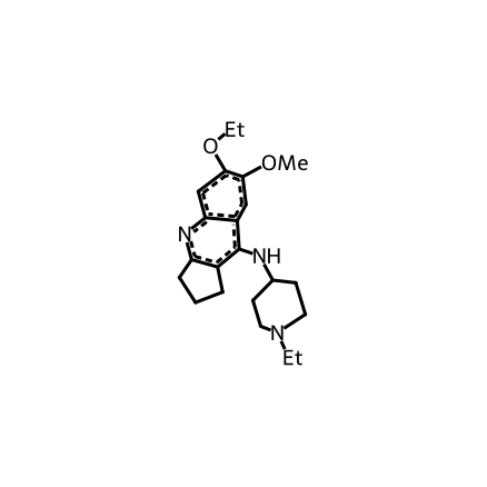 CCOc1cc2nc3c(c(NC4CCN(CC)CC4)c2cc1OC)CCC3